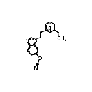 CCC1CC2C=CC1N(CCn1cnc3ccc(OC#N)cc31)C2